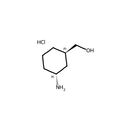 Cl.N[C@@H]1CCC[C@@H](CO)C1